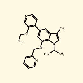 CCOc1cnccc1-c1cc(NCc2ccccn2)c2c(n1)c(C)nn2C(C)C